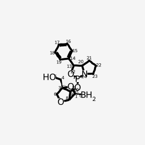 B[C@@H]1O[C@@]2(CO)COC1C2OP1OC(c2ccccc2)C2CCCN21